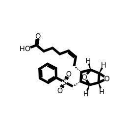 O=C(O)CCC/C=C\C[C@H]1[C@@H](CS(=O)(=O)c2ccccc2)[C@@H]2O[C@H]1[C@@H]1O[C@@H]12